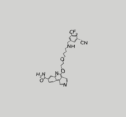 N#CCc1cc(CNCCCCOCCOc2nc3cc(C(N)=O)ccc3c3cnccc23)cc(C(F)(F)F)c1